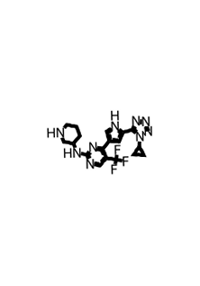 FC(F)(F)c1cnc(NC2CCCNC2)nc1-c1c[nH]c(-c2nnnn2C2CC2)c1